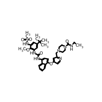 CCNC(=O)N1CCN(Cc2cc(Oc3ccc(NC(=O)Nc4cc(C(C)(C)C)cc(NS(C)(=O)=O)c4OC)c4ccccc34)ccn2)CC1